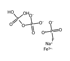 O=P([O-])([O-])F.O=P([O-])([O-])OP(=O)(O)O.[Fe+3].[Na+]